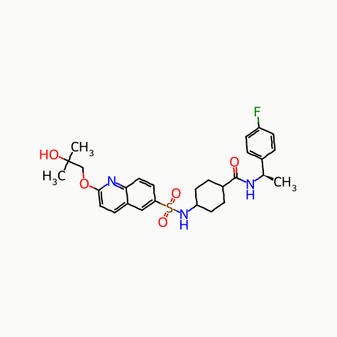 C[C@@H](NC(=O)C1CCC(NS(=O)(=O)c2ccc3nc(OCC(C)(C)O)ccc3c2)CC1)c1ccc(F)cc1